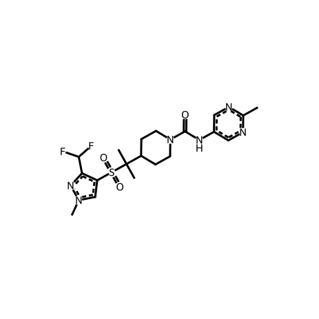 Cc1ncc(NC(=O)N2CCC(C(C)(C)S(=O)(=O)c3cn(C)nc3C(F)F)CC2)cn1